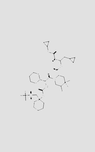 CCC(C)(C)S(=O)(=O)CC1(NC(=O)N[C@H](C(=O)N2CC(C)C(C)(C)C[C@H]2C(=O)NC(CC2CC2)C(=O)C(=O)NC2CC2)C2CCCCC2)CCCCC1